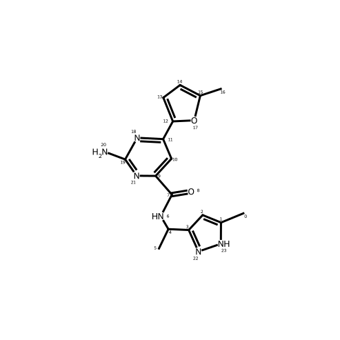 Cc1cc(C(C)NC(=O)c2cc(-c3ccc(C)o3)nc(N)n2)n[nH]1